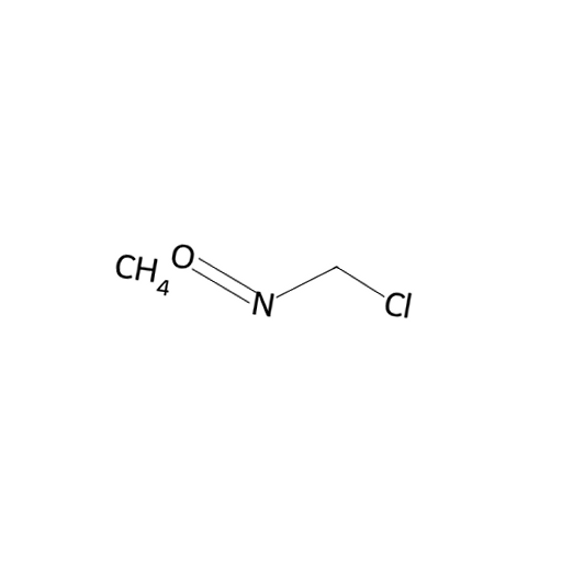 C.O=NCCl